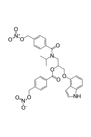 CC(C)N(CC(COc1cccc2[nH]ccc12)OC(=O)c1ccc(CO[N+](=O)[O-])cc1)C(=O)c1ccc(CO[N+](=O)[O-])cc1